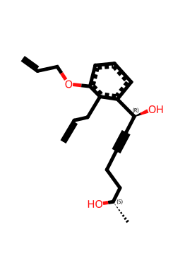 C=CCOc1cccc([C@@H](O)C#CCC[C@H](C)O)c1CC=C